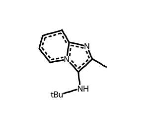 Cc1nc2ccccn2c1NC(C)(C)C